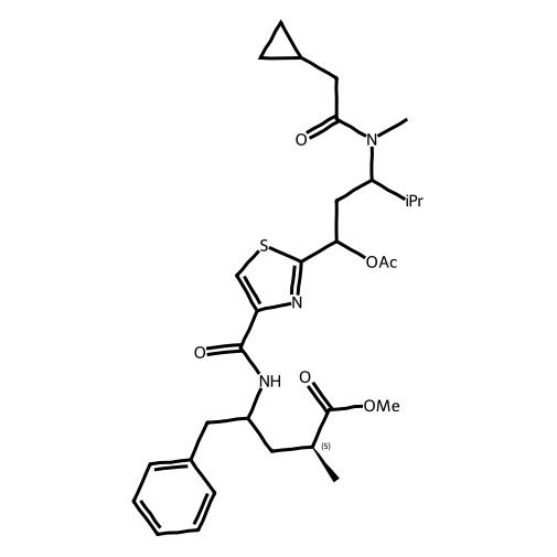 COC(=O)[C@@H](C)CC(Cc1ccccc1)NC(=O)c1csc(C(CC(C(C)C)N(C)C(=O)CC2CC2)OC(C)=O)n1